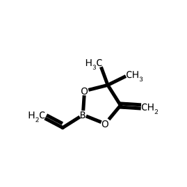 C=CB1OC(=C)C(C)(C)O1